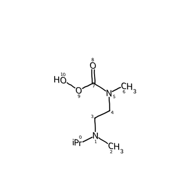 CC(C)N(C)CCN(C)C(=O)OO